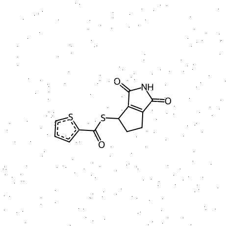 O=C1NC(=O)C2=C1CCC2SC(=O)c1cccs1